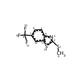 CSc1nc2ccc(C(F)(F)F)cc2s1